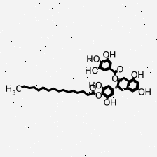 CCCCCCCCCCCCCCCC(=O)Oc1c(O)cc([C@H]2Cc3cc(O)cc(O)c3C[C@H]2OC(=O)c2cc(O)c(O)c(O)c2)cc1O